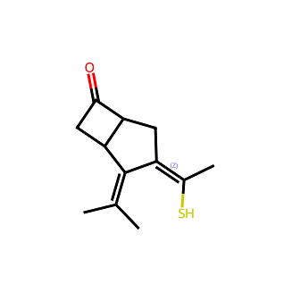 CC(C)=C1/C(=C(/C)S)CC2C(=O)CC12